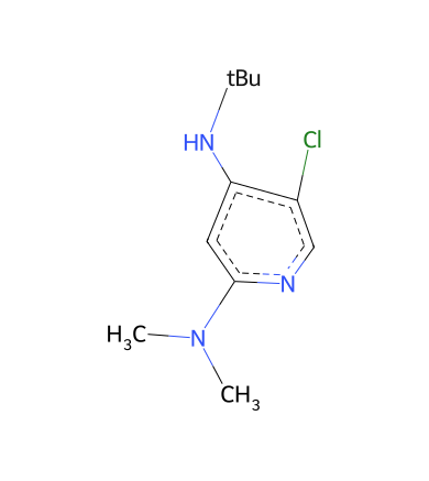 CN(C)c1cc(NC(C)(C)C)c(Cl)cn1